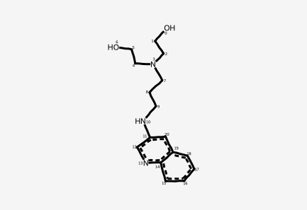 OCCN(CCO)CCCNc1cnc2ccccc2c1